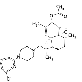 CC(=O)O[C@@H]1[C][C@@]2(O)[C@H](C)CC[C@@H]([C@H](C)CN3CCN(c4cccc(Cl)n4)CC3)[C@H]2C=C1C